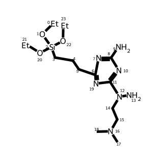 CCO[Si](CCCc1nc(N)nc(N(N)CCN(C)C)n1)(OCC)OCC